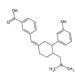 CN(C)CC1CC/C(=C/c2cccc(C(=O)O)c2)CC1c1cccc(O)c1